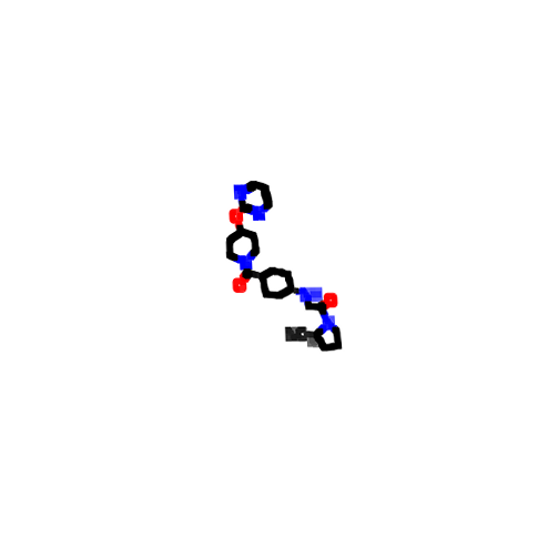 N#C[C@@H]1CCCN1C(=O)CN[C@H]1CC[C@H](C(=O)N2CCC(Oc3ncccn3)CC2)CC1